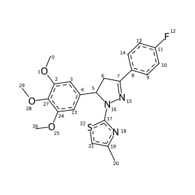 COc1cc(C2CC(c3ccc(F)cc3)=NN2c2nc(C)cs2)cc(OC)c1OC